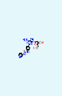 Nc1nc(-c2ccc(NC(=O)Nc3cccnc3)cc2)nc2c1ncn2[C@H]1CC(O)[C@@H](CO)O1